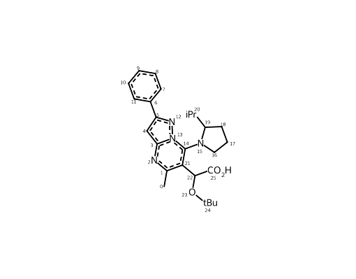 Cc1nc2cc(-c3ccccc3)nn2c(N2CCCC2C(C)C)c1C(OC(C)(C)C)C(=O)O